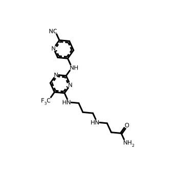 N#Cc1ccc(Nc2ncc(C(F)(F)F)c(NCCCNCCC(N)=O)n2)cn1